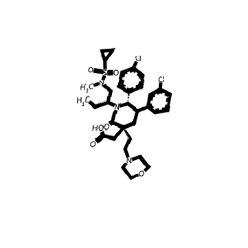 CCC(CN(C)S(=O)(=O)C1CC1)N1C(=O)[C@@](CCN2CCOCC2)(CC(=O)O)CC(c2cccc(Cl)c2)[C@H]1c1ccc(Cl)cc1